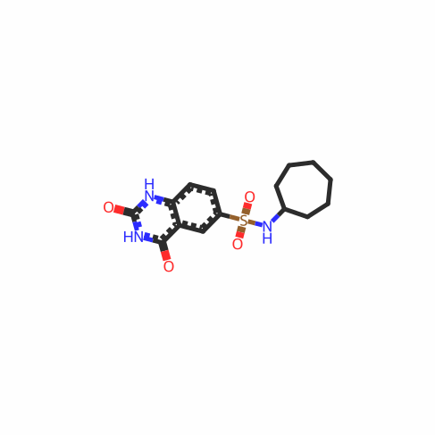 O=c1[nH]c(=O)c2cc(S(=O)(=O)NC3CCCCCC3)ccc2[nH]1